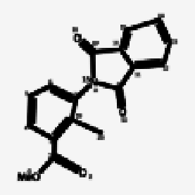 COC(=O)c1cccc([15N]2C(=O)c3ccccc3C2=O)c1C